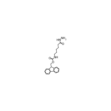 NNC(=O)CCCCCNC(=O)OCC1c2ccccc2-c2ccccc21